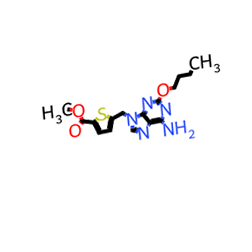 CCCCOc1nc(N)c2ncn(Cc3ccc(C(=O)OC)s3)c2n1